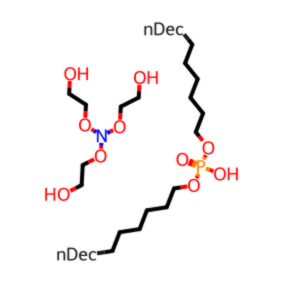 CCCCCCCCCCCCCCCCOP(=O)(O)OCCCCCCCCCCCCCCCC.OCCON(OCCO)OCCO